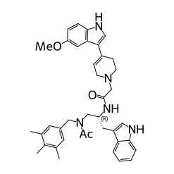 COc1ccc2[nH]cc(C3=CCN(CC(=O)N[C@H](Cc4c[nH]c5ccccc45)CN(Cc4cc(C)c(C)c(C)c4)C(C)=O)CC3)c2c1